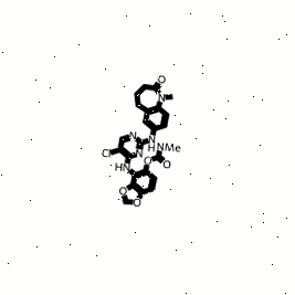 CNC(=O)Oc1ccc2c(c1Nc1nc(Nc3ccc4c(c3)CCCC(=O)N4C)ncc1Cl)OCO2